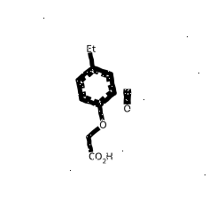 C=O.CCc1ccc(OCC(=O)O)cc1